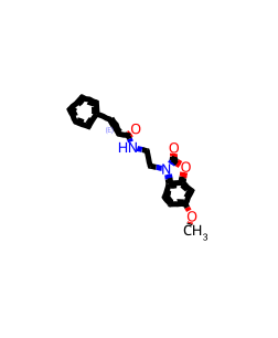 COc1ccc2c(c1)oc(=O)n2CCNC(=O)/C=C/c1ccccc1